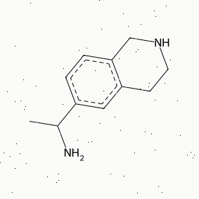 CC(N)c1ccc2c(c1)CCNC2